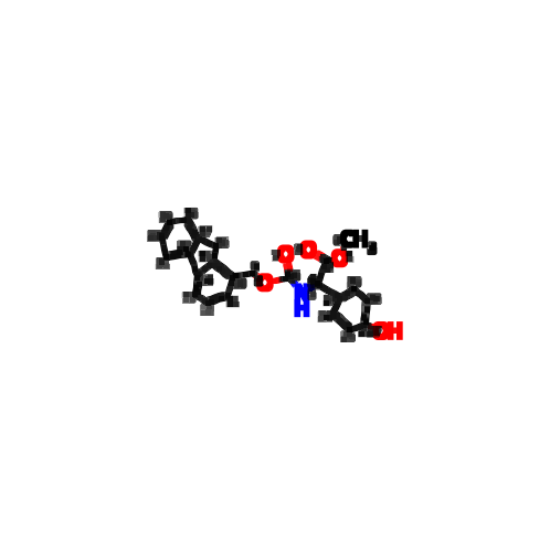 COC(=O)[C@H](NC(=O)OCc1cccc2c1Cc1ccccc1-2)c1ccc(O)cc1